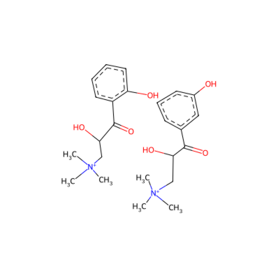 C[N+](C)(C)CC(O)C(=O)c1cccc(O)c1.C[N+](C)(C)CC(O)C(=O)c1ccccc1O